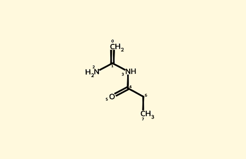 C=C(N)NC(=O)CC